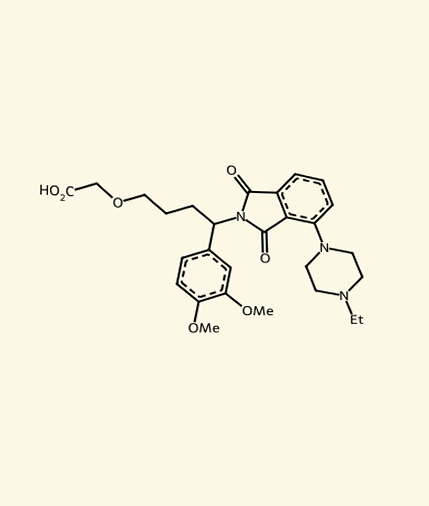 CCN1CCN(c2cccc3c2C(=O)N(C(CCCOCC(=O)O)c2ccc(OC)c(OC)c2)C3=O)CC1